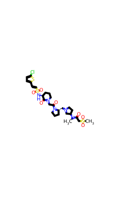 CN(C(=O)CS(C)(=O)=O)C1CCN(C[C@@H]2CCCN2C(=O)CN2CCC[C@H](NS(=O)(=O)/C=C/c3ccc(Cl)s3)C2=O)C1